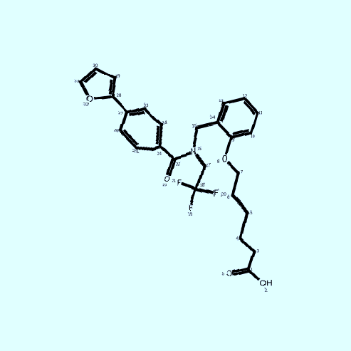 O=C(O)CCCCCOc1ccccc1CN(CC(F)(F)F)C(=O)c1ccc(-c2ccco2)cc1